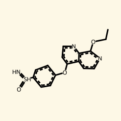 CCOc1nccc2c(Oc3ccc([SH](=N)=O)cc3)ccnc12